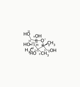 CC1(O)[C@@](C)(CO)O[C@](O)(CO)[C@]1(C)O